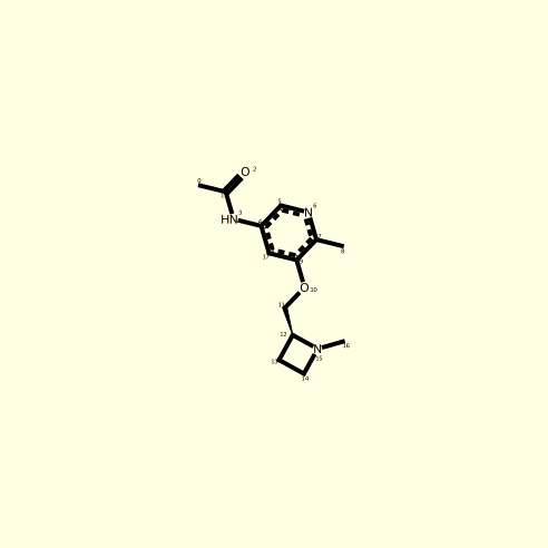 CC(=O)Nc1cnc(C)c(OC[C@@H]2CCN2C)c1